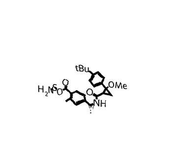 COC1(c2ccc(C(C)(C)C)cc2)CC1C(=O)N[C@H](C)c1ccc(C(=O)OSN)c(C)c1